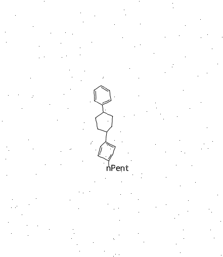 CCCCCc1ccc(C2CCC(c3ccccc3)CC2)cc1